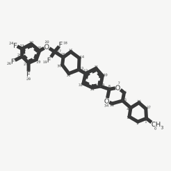 CC1CCC(C2COC(c3ccc(C4CCC(C(F)(F)Oc5cc(F)c(F)c(F)c5)CC4)cc3)OC2)CC1